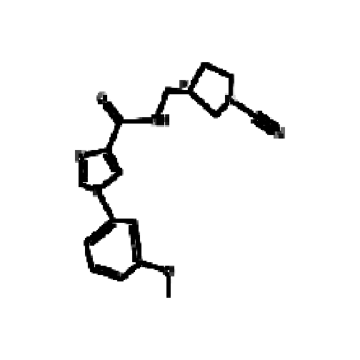 COc1cccc(-n2cnc(C(=O)NC[C@H]3CCN(C#N)C3)c2)c1